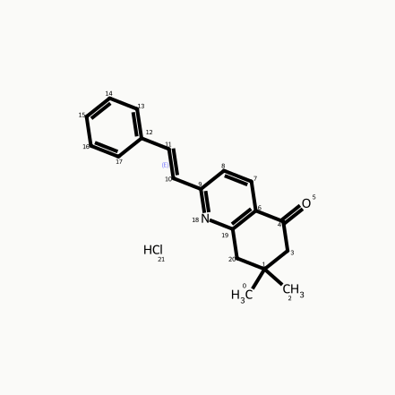 CC1(C)CC(=O)c2ccc(/C=C/c3ccccc3)nc2C1.Cl